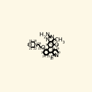 Cc1nc(N)nc2c1C(=O)CC(c1c(OCCN3CCOCC3)cccc1-c1cccnc1F)C2